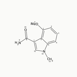 COc1cccc2c1c(C(N)=O)cn2C